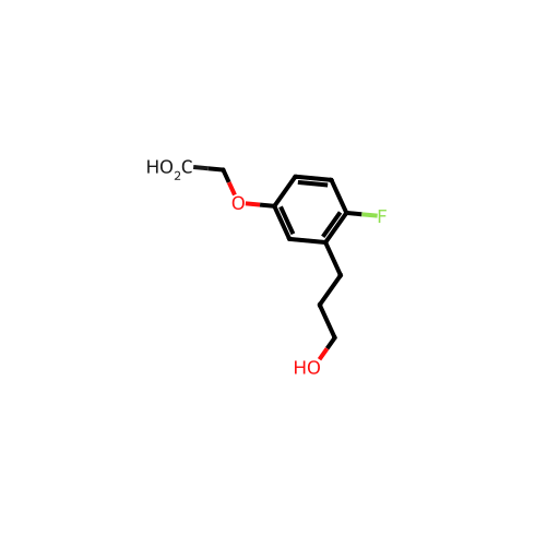 O=C(O)COc1ccc(F)c(CCCO)c1